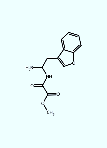 BC(Cc1coc2ccccc12)NC(=O)C(=O)OC